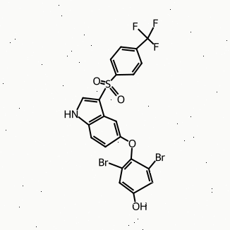 O=S(=O)(c1ccc(C(F)(F)F)cc1)c1c[nH]c2ccc(Oc3c(Br)cc(O)cc3Br)cc12